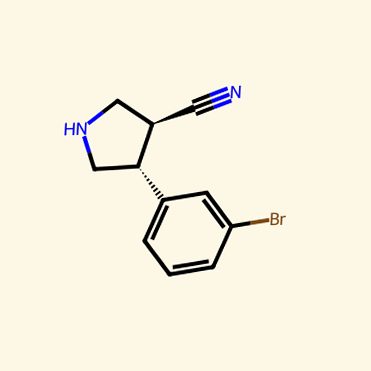 N#C[C@@H]1CNC[C@H]1c1cccc(Br)c1